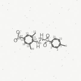 Cc1ccc(S(=O)(=O)NNc2c(C)cc([N+](=O)[O-])cc2C)cc1